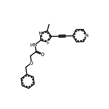 Cc1nc(NC(=O)COCc2ccccc2)sc1C#Cc1ccncc1